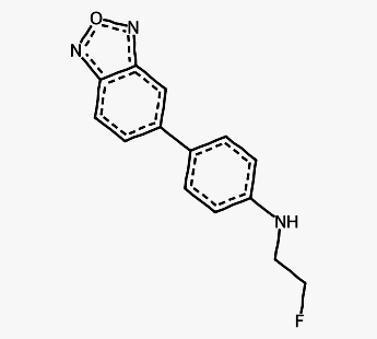 FCCNc1ccc(-c2ccc3nonc3c2)cc1